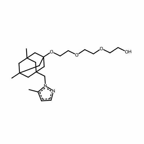 Cc1ccnn1CC12CC3(C)CC(C)(C1)CC(OCCOCCOCCO)(C3)C2